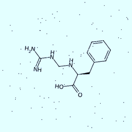 N=C(N)NCN[C@@H](Cc1ccccc1)C(=O)O